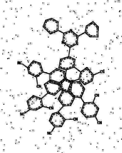 N#Cc1ccc(-c2ccc3c(c2)c2cc(-c4ccc(C#N)cc4C#N)ccc2n3-c2ccc(C#N)cc2-c2cc(-c3nc(-c4ccccc4)nc(-c4ccccc4)n3)ccc2-n2c3ccc(-c4ccc(C#N)cc4C#N)cc3c3cc(-c4ccc(C#N)cc4C#N)ccc32)c(C#N)c1